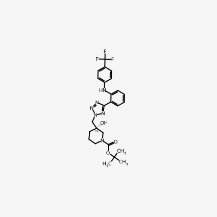 CC(C)(C)OC(=O)N1CCC[C@@](O)(Cn2nnc(-c3ccccc3Nc3ccc(C(F)(F)F)cc3)n2)C1